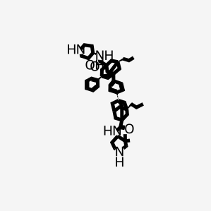 CCC[C@]12CC3CC(C(=O)NC4CCNCC4(C)C)(C1)C[C@@](c1ccc(C45CC6(C(=O)N[C@@H]7CCNC[C@H]7O)C[C@](CCC)(C4)C[C@@](c4ccccc4)(C6)C5)cc1)(C3)C2